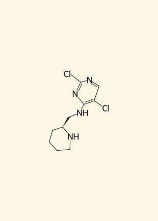 Clc1ncc(Cl)c(NC[C@@H]2CCCCN2)n1